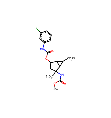 CCOC(=O)C1C2C(OC(=O)Nc3cccc(F)c3)CC(NC(=O)OC(C)(C)C)(C(=O)OCC)C12